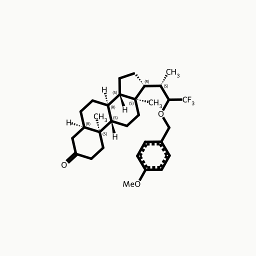 COc1ccc(COC([C@@H](C)[C@H]2CC[C@H]3[C@@H]4CC[C@@H]5CC(=O)CC[C@]5(C)[C@H]4CC[C@]23C)C(F)(F)F)cc1